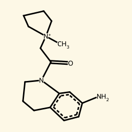 C[N+]1(CC(=O)N2CCCc3ccc(N)cc32)CCCC1